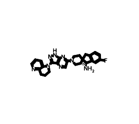 N[C@@H]1c2cc(F)ccc2CC12CCN(c1cnc3c(N4CCCc5ncccc54)n[nH]c3n1)CC2